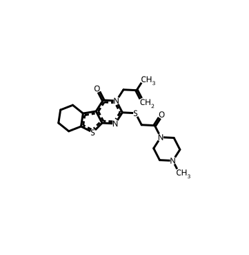 C=C(C)Cn1c(SCC(=O)N2CCN(C)CC2)nc2sc3c(c2c1=O)CCCC3